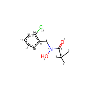 CC(C)(C)C(=O)N(O)Cc1ccccc1Cl